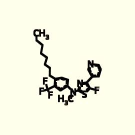 CCCCCCCCc1ccc(N(C)c2nc(-c3cccnc3)c(F)s2)cc1C(F)(F)F